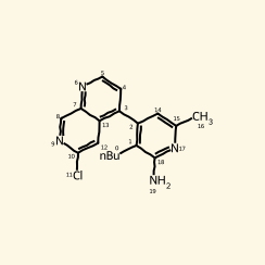 CCCCc1c(-c2ccnc3cnc(Cl)cc23)cc(C)nc1N